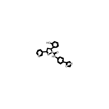 O=C(Nc1ccc(-c2cnco2)cc1)N1N=C(c2cccnc2)CC1c1ccccc1O